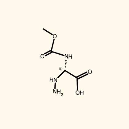 COC(=O)N[C@@H](NN)C(=O)O